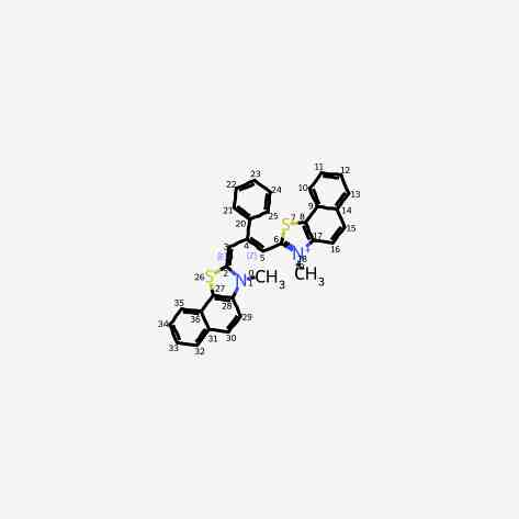 CN1/C(=C\C(=C\c2sc3c4ccccc4ccc3[n+]2C)c2ccccc2)Sc2c1ccc1ccccc21